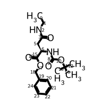 CCNC(=O)C[C@@H](NC(=O)OC(C)(C)C)C(=O)OCc1ccccc1